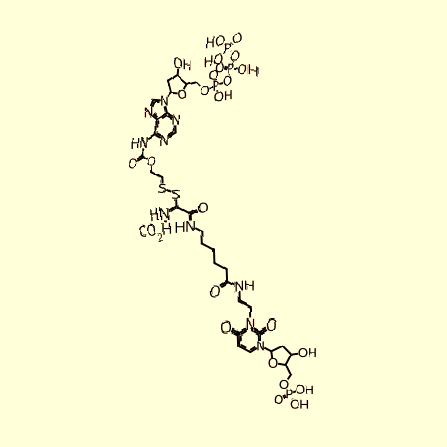 O=C(O)NC(SSCCOC(=O)Nc1ncnc2c1ncn2C1CC(O)C(COP(=O)(O)OP(=O)(O)OP(=O)(O)O)O1)C(=O)NCCCCCC(=O)NCCn1c(=O)ccn(C2CC(O)C(COP(=O)(O)O)O2)c1=O